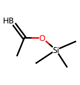 B=C(C)O[Si](C)(C)C